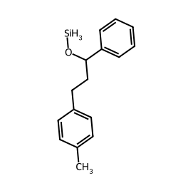 Cc1ccc(CCC(O[SiH3])c2ccccc2)cc1